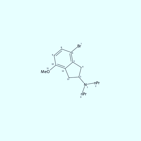 CCCN(CCC)C1Cc2c(Br)ccc(OC)c2C1